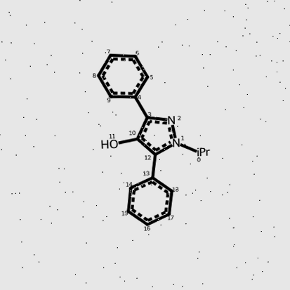 CC(C)n1nc(-c2ccccc2)c(O)c1-c1ccccc1